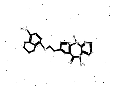 CCOC(=O)c1ccc(OCCc2cnc3c(c2)C(=O)N(C)c2cccnc2N3CC)c2c1CCCC2